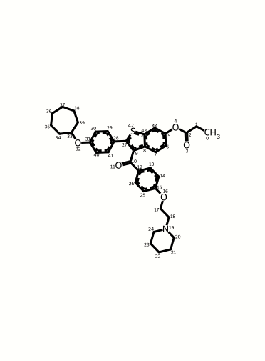 CCC(=O)Oc1ccc2c(C(=O)c3ccc(OCCN4CCCCC4)cc3)c(-c3ccc(OC4CCCCCC4)cc3)sc2c1